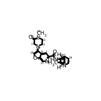 C[C@H]1[C@H](NC(=O)c2cc3c(N4CCN(C)C(=O)C4)coc3cn2)C2CCN1CC2